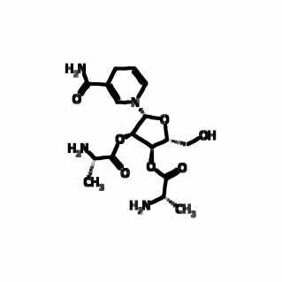 C[C@H](N)C(=O)O[C@@H]1[C@H](OC(=O)[C@H](C)N)[C@@H](CO)O[C@H]1N1C=CCC(C(N)=O)=C1